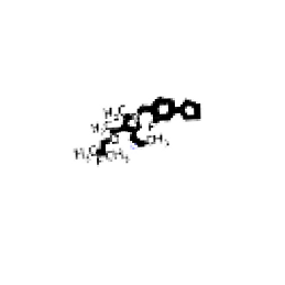 C=C(OCC(C)(C)F)C1=C(/C=C\C)CN(Cc2ccc(C3CCCC3)cc2F)C1=C